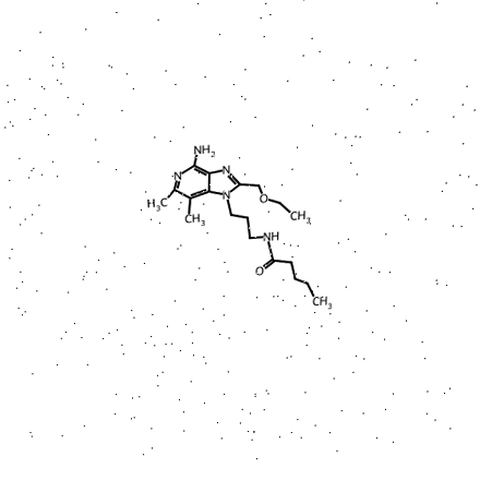 CCCCC(=O)NCCCn1c(COCC)nc2c(N)nc(C)c(C)c21